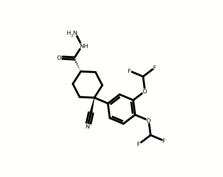 N#C[C@]1(c2ccc(OC(F)F)c(OC(F)F)c2)CC[C@@H](C(=O)NN)CC1